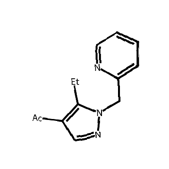 CCc1c(C(C)=O)cnn1Cc1ccccn1